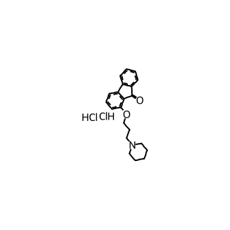 Cl.Cl.O=C1c2ccccc2-c2cccc(OCCCN3CCCCC3)c21